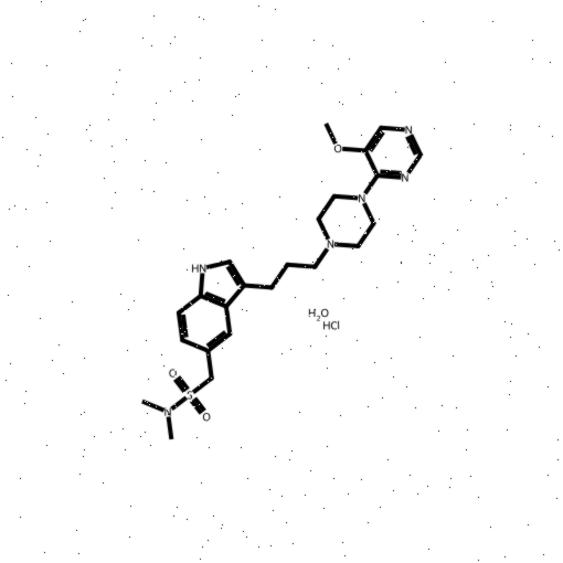 COc1cncnc1N1CCN(CCCc2c[nH]c3ccc(CS(=O)(=O)N(C)C)cc23)CC1.Cl.O